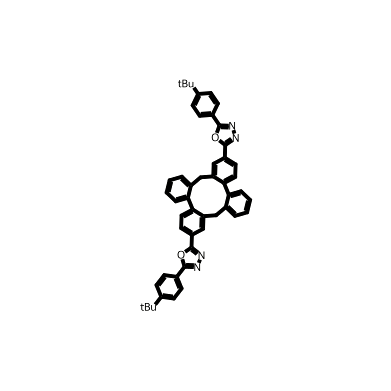 CC(C)(C)c1ccc(-c2nnc(-c3ccc4c(c3)Cc3ccccc3-c3ccc(-c5nnc(-c6ccc(C(C)(C)C)cc6)o5)cc3Cc3ccccc3-4)o2)cc1